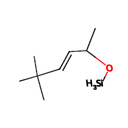 CC(C=CC(C)(C)C)O[SiH3]